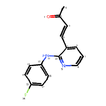 CC(=O)/C=C/c1cccnc1Nc1ccc(F)cc1